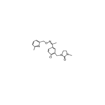 CC(=NOCc1cccc(C)n1)c1ccc(Cl)c(CN2CCN(C)C2=O)c1